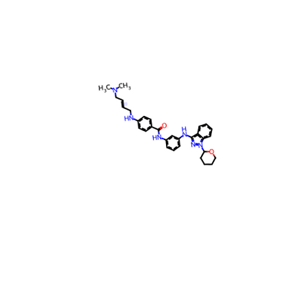 CN(C)C/C=C/CNc1ccc(C(=O)Nc2cccc(Nc3nn(C4CCCCO4)c4ccccc34)c2)cc1